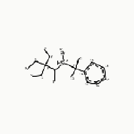 CCC(CC)(CC)C(C)[SiH](Br)C(C)(C)c1ccccc1